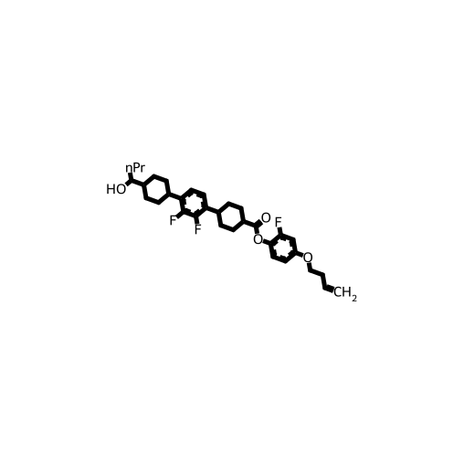 C=CCCOc1ccc(OC(=O)C2CCC(c3ccc(C4CCC(C(O)CCC)CC4)c(F)c3F)CC2)c(F)c1